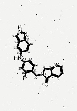 O=C1c2cccnc2CN1Cc1ccc(Nc2ccc3n[nH]cc3c2)cc1F